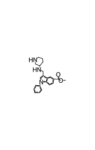 COC(=O)c1ccc2c(c1)c(CNC1CCCNC1)cn2-c1ccccc1